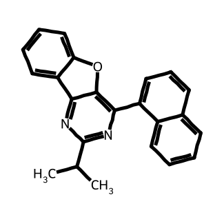 CC(C)c1nc(-c2cccc3ccccc23)c2oc3ccccc3c2n1